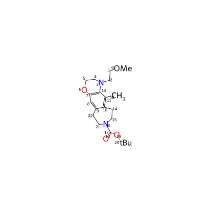 COCCN1CCOc2cc3c(c(C)c21)CCN(C(=O)OC(C)(C)C)CC3